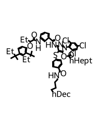 CCCCCCCCCCCCCCNC(=O)c1ccc(Sc2c(NC(=O)c3cccc(NC(=O)C(CC)Oc4ccc(C(C)(C)CC)cc4C(C)(C)CC)c3)nn(-c3c(Cl)cc(Cl)cc3Cl)c2OC(=O)CCCCCCC)cc1